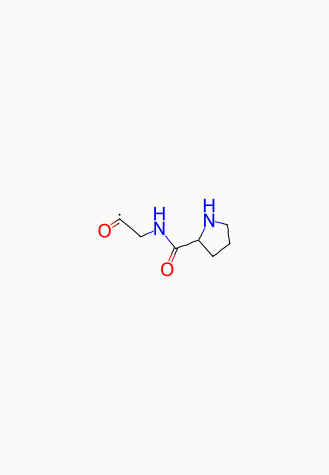 O=[C]CNC(=O)C1CCCN1